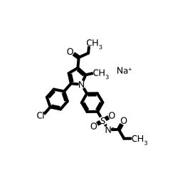 CCC(=O)[N-]S(=O)(=O)c1ccc(-n2c(-c3ccc(Cl)cc3)cc(C(=O)CC)c2C)cc1.[Na+]